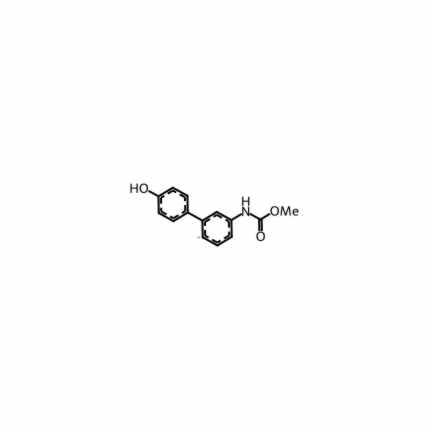 COC(=O)Nc1cc[c]c(-c2ccc(O)cc2)c1